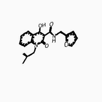 CC(C)Cn1c(=O)c(C(=O)NCc2ccco2)c(O)c2ccccc21